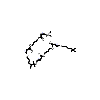 CC(CCCS/C=C\C(=O)OCCCOC(=O)/C=C\SN(C)C)C(C)(C)S/C=C/C(=O)OCCCOC(=O)/C=C/SCCCCC(C)(C)C